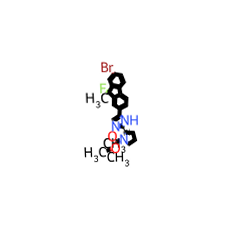 CC(C)(C)OC(=O)N1CCC[C@H]1c1ncc(-c2ccc3c(c2)C(C)(F)c2cc(Br)ccc2-3)[nH]1